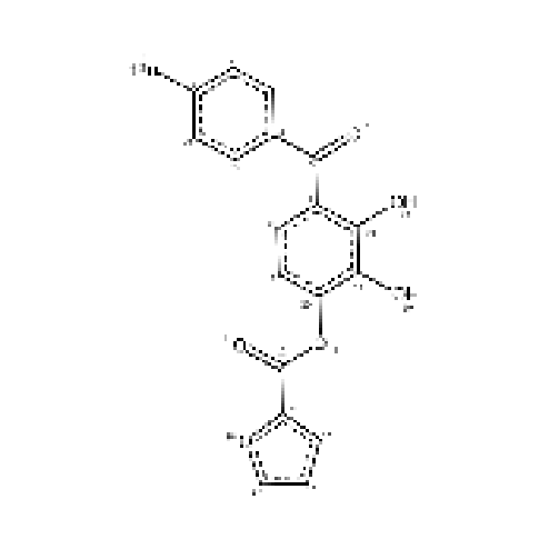 CC(C)(C)c1ccc(C(=O)c2ccc(OC(=O)c3ccco3)c(O)c2O)cc1